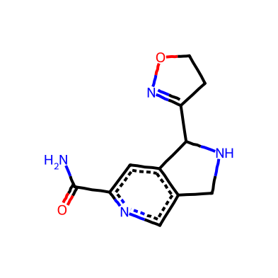 NC(=O)c1cc2c(cn1)CNC2C1=NOCC1